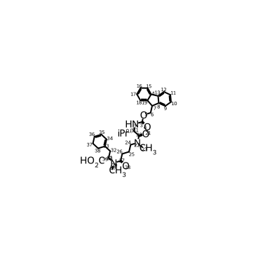 CC(C)[C@H](NC(=O)OCC1c2ccccc2-c2ccccc21)C(=O)N(C)CCCC(=O)N(C)[C@@H](CC1=CC=CCC1)C(=O)O